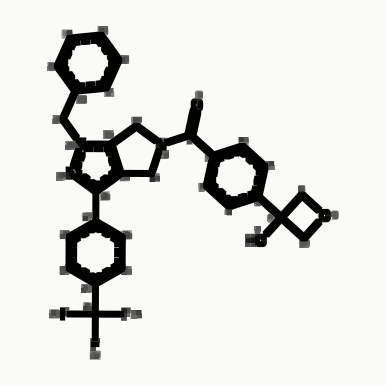 O=C(c1ccc(C2(O)COC2)cc1)N1Cc2c(-c3ccc(C(F)(F)F)cc3)nn(Cc3ccccc3)c2C1